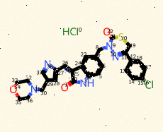 Cl.O=C1Nc2ccc(CN3N=C(c4ccc(Cl)cc4)CSC3=O)cc2/C1=C/C1=CC(CN2CCOCC2)C=N1